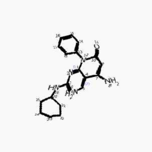 C=C(/N=C1\C(=C/N)C(N)=CC(=O)N1c1ccccc1)NC1CCCCC1